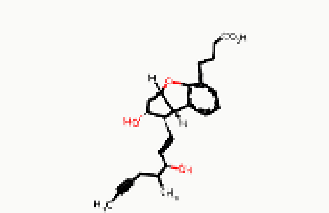 CC#CCC(C)[C@H](O)C=C[C@@H]1[C@H]2c3cccc(CCCC(=O)O)c3O[C@H]2C[C@H]1O